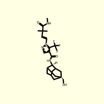 CNC(=O)C(C)(C)/C=C/n1ncc(C(=O)N[C@H]2C3CC4CC2C[C@](CO)(C4)C3)c1C(F)(F)F